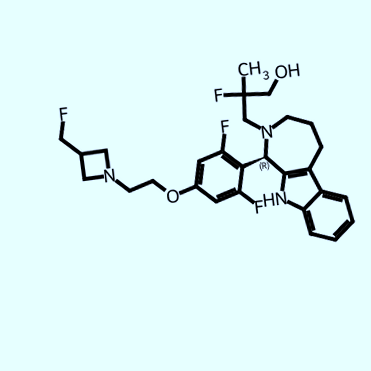 CC(F)(CO)CN1CCCc2c([nH]c3ccccc23)[C@H]1c1c(F)cc(OCCN2CC(CF)C2)cc1F